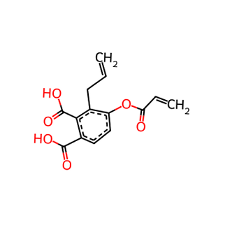 C=CCc1c(OC(=O)C=C)ccc(C(=O)O)c1C(=O)O